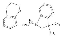 CN1CC(C)(C)c2ccccc21.COc1cccc2c1OCCC2